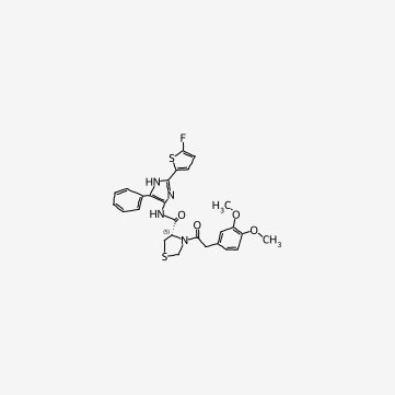 COc1ccc(CC(=O)N2CSC[C@@H]2C(=O)Nc2nc(-c3ccc(F)s3)[nH]c2-c2ccccc2)cc1OC